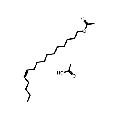 CC(=O)O.CCCC/C=C\CCCCCCCCCCOC(C)=O